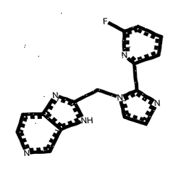 Fc1cccc(-c2nccn2Cc2nc3ccncc3[nH]2)n1